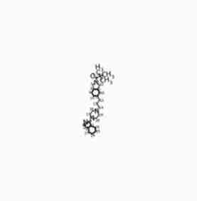 CC(C)(C)C(=O)N1Cc2ccc(CCCN3CCN(c4nsc5ccccc45)CC3)cc2C1